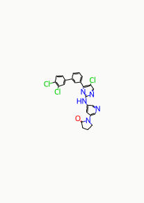 O=C1CCCN1c1cncc(Nc2ncc(Cl)c(-c3cccc(-c4ccc(Cl)c(Cl)c4)c3)n2)c1